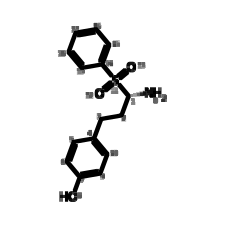 N[C@H](CCc1ccc(O)cc1)S(=O)(=O)c1ccccc1